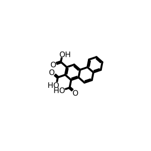 O=C(O)c1cc2c(ccc3ccccc32)c(C(=O)O)c1C(=O)O